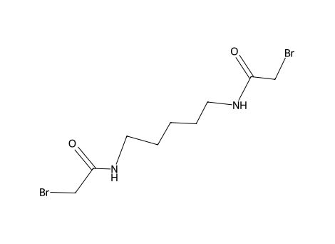 O=C(CBr)NCCCCCNC(=O)CBr